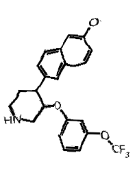 [O]c1ccc2cc(C3CCNCC3Oc3cccc(OC(F)(F)F)c3)ccc2c1